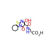 O=C(O)CCNC(=O)c1c(O)nc2sc3c(n2c1=O)CCCCC3